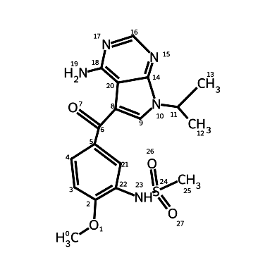 COc1ccc(C(=O)c2cn(C(C)C)c3ncnc(N)c23)cc1NS(C)(=O)=O